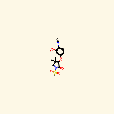 [C-]#[N+]c1ccc(OC2C(=O)N(S(C)(=O)=O)CC2(C)C)cc1OC